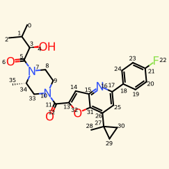 CC(C)[C@@H](O)C(=O)N1CCN(C(=O)c2cc3nc(-c4ccc(F)cc4)cc(C4(C)CC4)c3o2)C[C@@H]1C